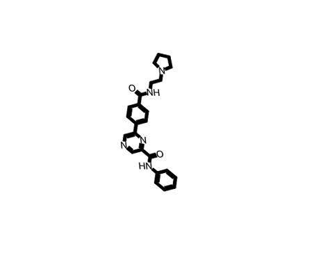 O=C(NCCN1CCCC1)c1ccc(-c2cncc(C(=O)Nc3ccccc3)n2)cc1